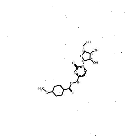 COC1CCC(C(=O)ONc2ccn([C@@H]3O[C@H](CO)[C@@H](O)[C@H]3O)c(=O)n2)CC1